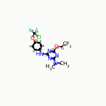 CN(C)c1nc(Nc2ccc(OC(F)(F)Cl)cc2)nc(OCC(F)(F)F)n1